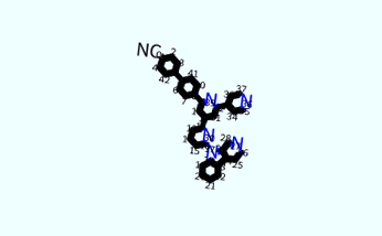 N#Cc1ccc(-c2ccc(-c3cc(-c4cccc(-n5c6ccccc6c6ccncc65)n4)cc(-c4ccncc4)n3)cc2)cc1